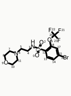 O=S(=O)(NCCN1CCOCC1)c1ccc(Br)cc1OC(F)(F)F